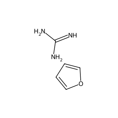 N=C(N)N.c1ccoc1